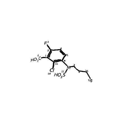 O=C(O)c1c(F)ccc(N(CCCF)S(=O)(=O)O)c1Cl